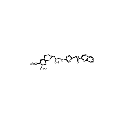 COc1cc2c(cc1OC)CN(CC(O)COc1ccc(NC(=O)c3cnc4ccccc4n3)cc1)CC2